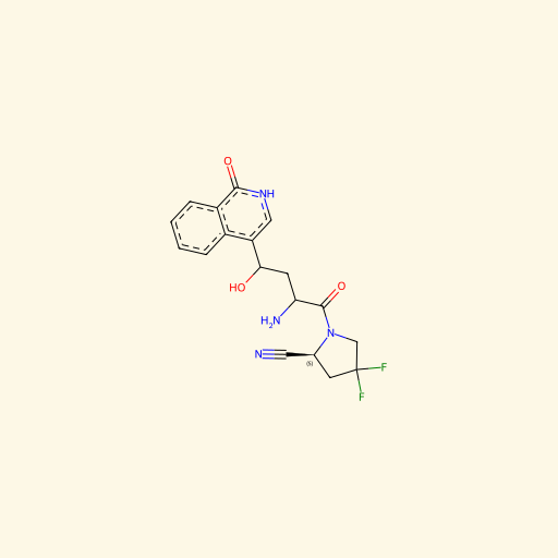 N#C[C@@H]1CC(F)(F)CN1C(=O)C(N)CC(O)c1c[nH]c(=O)c2ccccc12